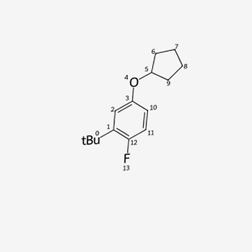 CC(C)(C)c1cc(OC2CCCC2)ccc1F